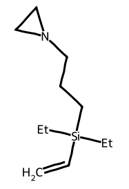 C=C[Si](CC)(CC)CCCN1CC1